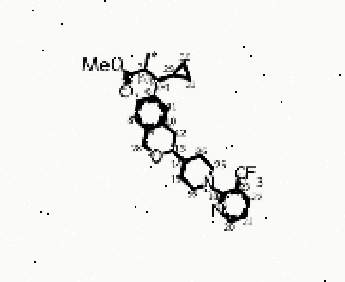 COC(=O)[C@@H](C)[C@H](c1ccc2c(c1)CC(C1CCN(c3ncccc3C(F)(F)F)CC1)OC2)C1CC1